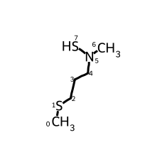 CSCCCN(C)S